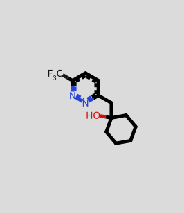 OC1(Cc2ccc(C(F)(F)F)nn2)CCCCC1